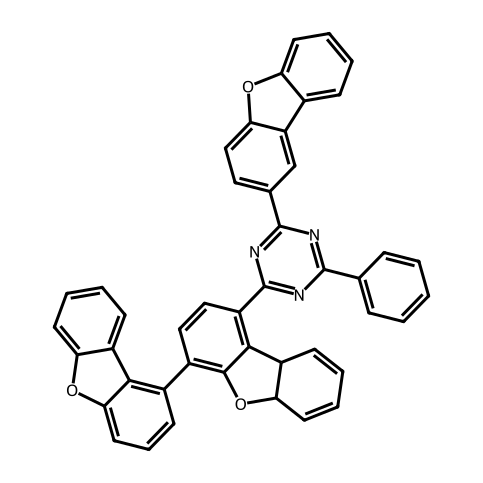 C1=CC2Oc3c(-c4cccc5oc6ccccc6c45)ccc(-c4nc(-c5ccccc5)nc(-c5ccc6oc7ccccc7c6c5)n4)c3C2C=C1